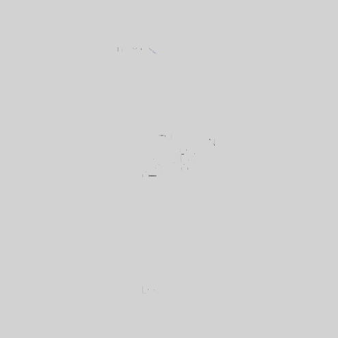 CCCCCC/C=C\CCCCCCCCCC(=O)O[C@H](COC(=O)CCCCCCCCCCCCCCCCCCCCCCC)COP(=O)(O)OCC[N+](C)(C)C